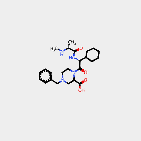 CN[C@@H](C)C(=O)N[C@H](C(=O)N1CCN(Cc2ccccc2)CC1C(=O)O)C1CCCCC1